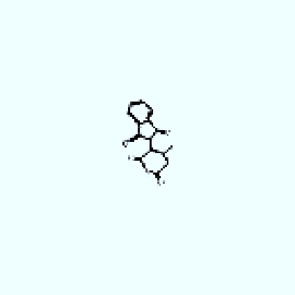 CC1CC(=O)NC(=O)C1C1C(=O)c2ccccc2C1=O